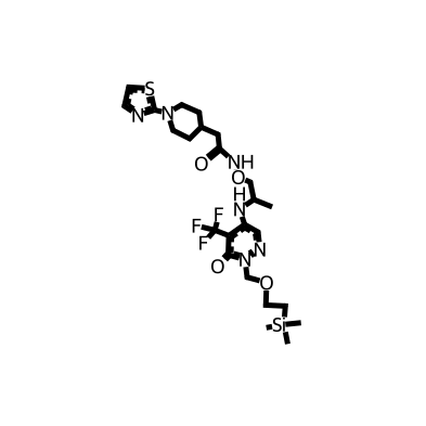 CC(CONC(=O)CC1CCN(c2nccs2)CC1)Nc1cnn(COCC[Si](C)(C)C)c(=O)c1C(F)(F)F